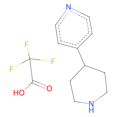 O=C(O)C(F)(F)F.c1cc(C2CCNCC2)ccn1